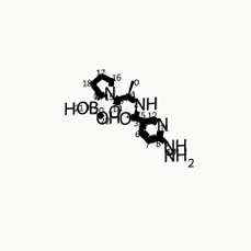 C[C@@H](NC(=O)c1ccc(NN)nc1)C(=O)N1CCC[C@H]1B(O)O